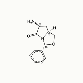 N[C@H]1C[C@H]2CO[C@H](c3ccccc3)N2C1=O